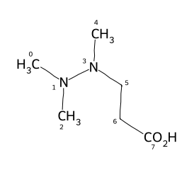 CN(C)N(C)CCC(=O)O